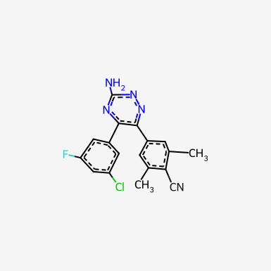 Cc1cc(-c2nnc(N)nc2-c2cc(F)cc(Cl)c2)cc(C)c1C#N